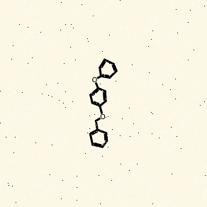 c1ccc(COc2ccc(Oc3ccccc3)cc2)cc1